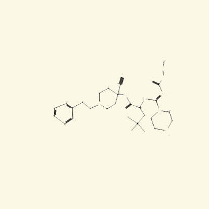 CCOC(=O)/N=C(\NC(CC(C)(C)C)C(=O)NC1(C#N)CCN(CCc2ccccc2)CC1)N1CCOCC1